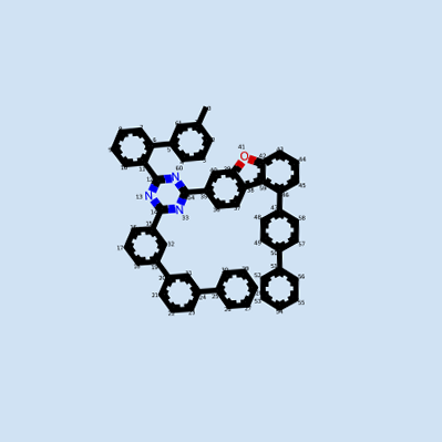 Cc1cccc(-c2ccccc2-c2nc(-c3cccc(-c4cccc(-c5ccccc5)c4)c3)nc(-c3ccc4c(c3)oc3cccc(-c5ccc(-c6ccccc6)cc5)c34)n2)c1